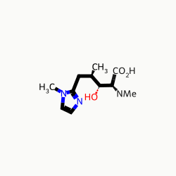 CN[C@H](C(=O)O)[C@H](O)[C@H](C)Cc1nccn1C